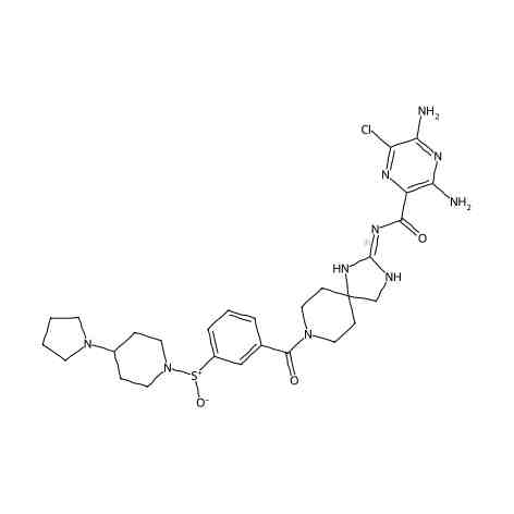 Nc1nc(N)c(C(=O)/N=C2\NCC3(CCN(C(=O)c4cccc([S+]([O-])N5CCC(N6CCCC6)CC5)c4)CC3)N2)nc1Cl